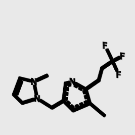 Cc1cc(CN2CC=CN2C)cnc1CCC(F)(F)F